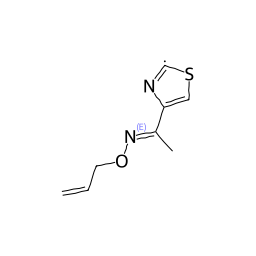 C=CCO/N=C(\C)c1cs[c]n1